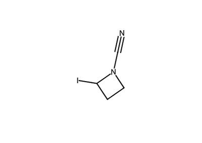 N#CN1CCC1I